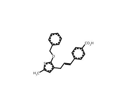 Cc1cc(CC=Cc2ccc(C(=O)O)cc2)c(OCc2ccccc2)s1